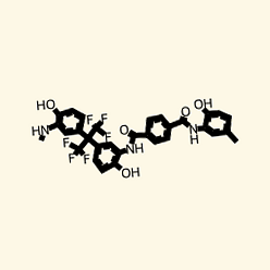 CNc1cc(C(c2ccc(O)c(NC(=O)c3ccc(C(=O)Nc4cc(C)ccc4O)cc3)c2)(C(F)(F)F)C(F)(F)F)ccc1O